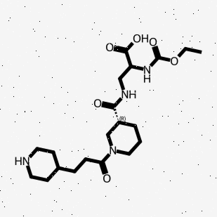 CCOC(=O)NC(CNC(=O)[C@@H]1CCCN(C(=O)CCC2CCNCC2)C1)C(=O)O